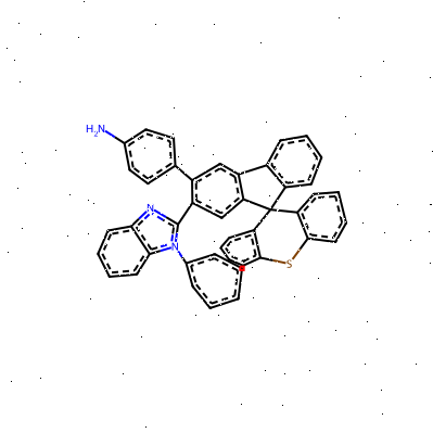 Nc1ccc(-c2cc3c(cc2-c2nc4ccccc4n2-c2ccccc2)C2(c4ccccc4Sc4ccccc42)c2ccccc2-3)cc1